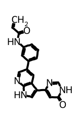 C=CC(=O)Nc1cccc(-c2cnc3[nH]cc(-c4cc(=O)[nH]cn4)c3c2)c1